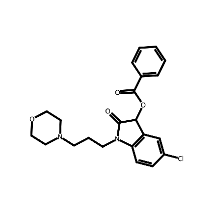 O=C(OC1C(=O)N(CCCN2CCOCC2)c2ccc(Cl)cc21)c1ccccc1